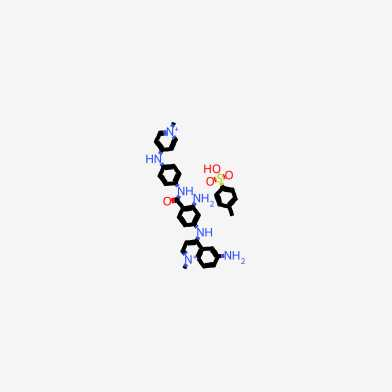 C[n+]1ccc(Nc2ccc(NC(=O)c3ccc(Nc4cc[n+](C)c5ccc(N)cc45)cc3N)cc2)cc1.Cc1ccc(S(=O)(=O)O)cc1